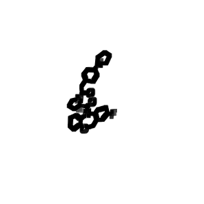 O=C([C@H]1CCCN1C(=O)Cc1ccc(N2CCCC2)cc1)N1c2ccc(F)cc2COc2ccccc21